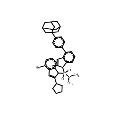 CCC1=Cc2c(-c3ccc(C45CC6CC(CC(C6)C4)C5)cc3)cccc2[CH]1[Zr]([Cl])([Cl])([CH]1C(C2CCCC2)=Cc2c(C(C)CC)cccc21)[SiH](C)C